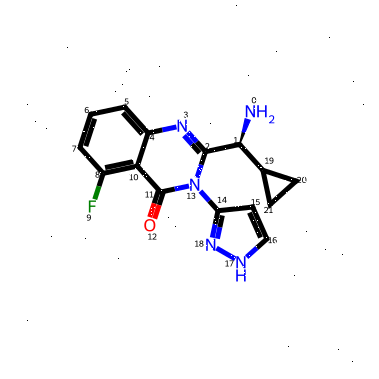 N[C@H](c1nc2cccc(F)c2c(=O)n1-c1cc[nH]n1)C1CC1